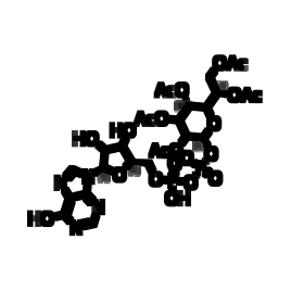 CC(=O)OC[C@@H](OC(C)=O)C1O[C@@H](OP(=O)(O)OP(=O)(O)OC[C@H]2O[C@@H](n3cnc4c(O)ncnc43)C(O)C2O)C(OC(C)=O)C(OC(C)=O)[C@@H]1OC(C)=O